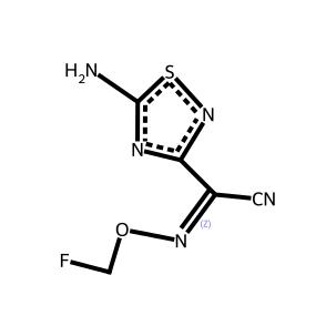 N#C/C(=N/OCF)c1nsc(N)n1